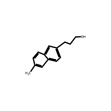 Cc1ccc2cc(CCCO)ccc2c1